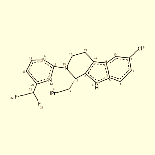 CC(C)C[C@H]1c2[nH]c3ccc(Cl)cc3c2CCN1c1nccc(C(F)F)n1